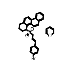 C1=CCOC=C1.O=S(=O)(CC=Cc1ccc(Br)cc1)C1CCCc2ccc3c(ccc4ccccc43)c21